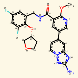 COc1ncc(-c2ccn3nc(N)nc3c2)cc1C(=O)NCc1cc(F)cc(F)c1O[C@@H]1CCOC1